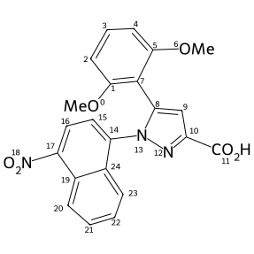 COc1cccc(OC)c1-c1cc(C(=O)O)nn1-c1ccc([N+](=O)[O-])c2ccccc12